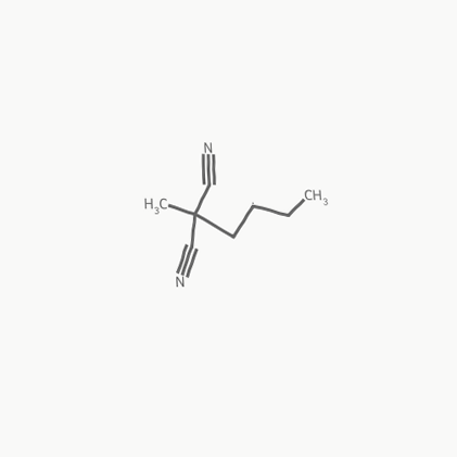 CC[CH]CC(C)(C#N)C#N